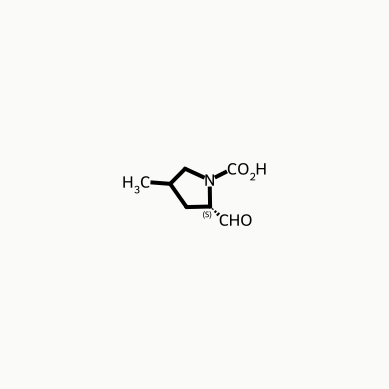 CC1C[C@@H](C=O)N(C(=O)O)C1